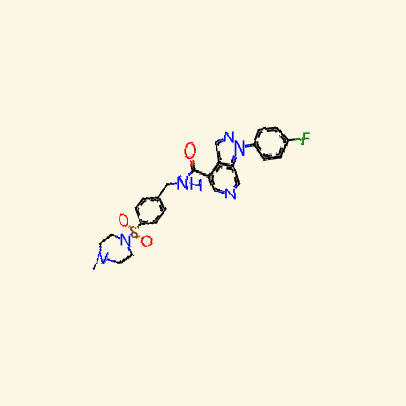 CN1CCN(S(=O)(=O)c2ccc(CNC(=O)c3cncc4c3cnn4-c3ccc(F)cc3)cc2)CC1